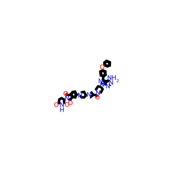 Nc1ncnc2c1c(-c1ccc(Oc3ccccc3)cc1)nn2C1CCN(C(=O)C2CN(C3CCN(c4ccc5c(c4)C(=O)N(C4CCC(=O)NC4=O)C5=O)CC3)C2)CC1